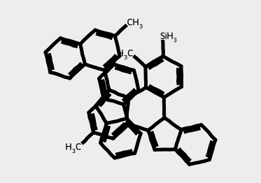 Cc1cc(C2=Cc3ccccc3C2c2ccc([SiH3])c(C)c2C2C(c3cc(C)cc4ccccc34)=Cc3ccccc32)c2ccccc2c1